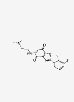 CN(C)CCNC1=CC(=O)c2oc(-c3cccc(F)c3F)nc2C1=O